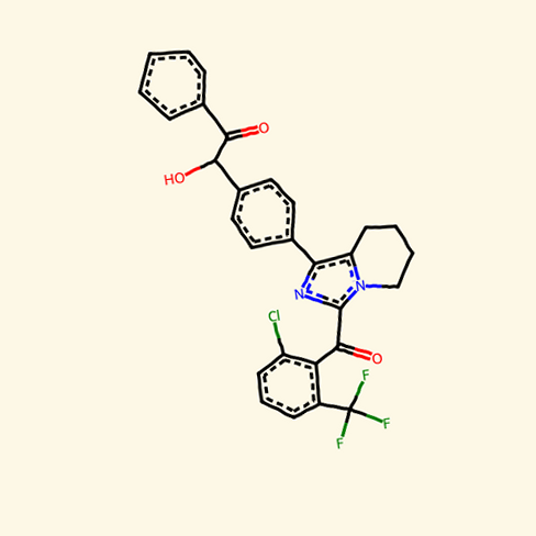 O=C(c1c(Cl)cccc1C(F)(F)F)c1nc(-c2ccc(C(O)C(=O)c3ccccc3)cc2)c2n1CCCC2